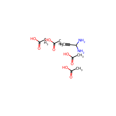 C#CC(N)N.CC(=O)O.CC(=O)O.CC(=O)O.CC(=O)O